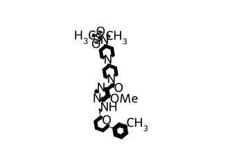 COc1c(NC[C@H]2CCC[C@@H](c3cccc(C)c3)O2)ncnc1C(=O)N1CCC(N2CCC(N(C)S(C)(=O)=O)CC2)CC1